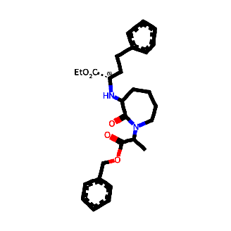 CCOC(=O)[C@H](CCc1ccccc1)NC1CCCCN(C(C)C(=O)OCc2ccccc2)C1=O